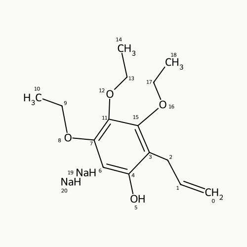 C=CCc1c(O)cc(OCC)c(OCC)c1OCC.[NaH].[NaH]